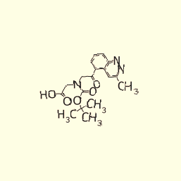 Cc1cc2c(C(=O)CN(CC(=O)O)C(=O)OC(C)(C)C)cccc2nn1